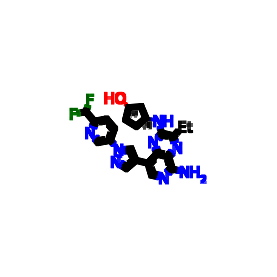 CCc1nc2c(N)ncc(-c3cnn(-c4ccc(C(F)F)nc4)c3)c2nc1N[C@@H]1CC[C@H](O)C1